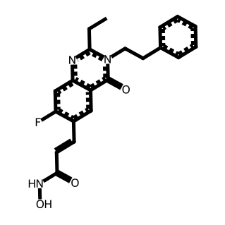 CCc1nc2cc(F)c(C=CC(=O)NO)cc2c(=O)n1CCc1ccccc1